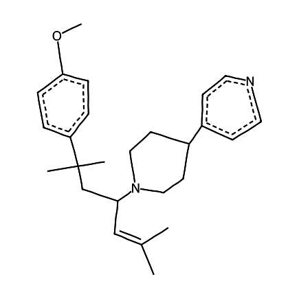 COc1ccc(C(C)(C)CC(C=C(C)C)N2CCC(c3ccncc3)CC2)cc1